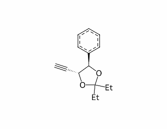 C#C[C@H]1OC(CC)(CC)O[C@@H]1c1ccccc1